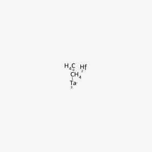 C.C.[Hf].[Ta]